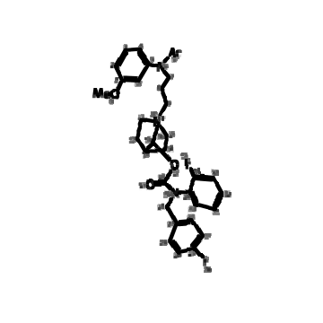 COc1cccc(N(CCC[N+]23CCC(CC2)C(OC(=O)N(Cc2ccc(F)cc2)c2ccccc2F)C3)C(C)=O)c1